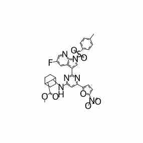 COC(=O)C1C2CCC(CC2)C1Nc1cc(-c2ccc([N+](=O)[O-])o2)nc(-c2cn(S(=O)(=O)c3ccc(C)cc3)c3ncc(F)cc23)n1